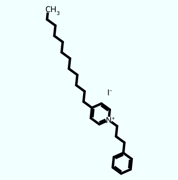 CCCCCCCCCCCCc1cc[n+](CCCc2ccccc2)cc1.[I-]